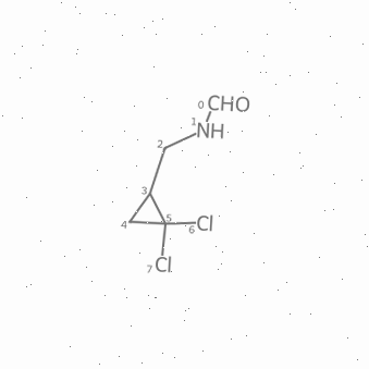 O=CNCC1CC1(Cl)Cl